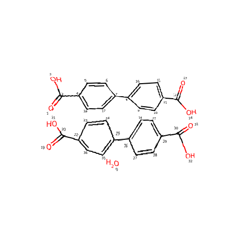 O.O=C(O)c1ccc(-c2ccc(C(=O)O)cc2)cc1.O=C(O)c1ccc(-c2ccc(C(=O)O)cc2)cc1